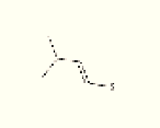 CC(C)C=C[S]